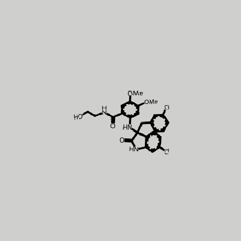 COc1cc(NC2(Cc3cccc(Cl)c3)C(=O)Nc3cc(Cl)ccc32)c(C(=O)NCCO)cc1OC